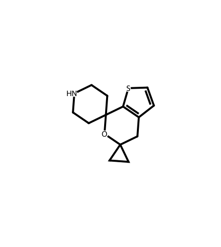 c1cc2c(s1)C1(CCNCC1)OC1(CC1)C2